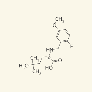 COc1ccc(F)c(CN[C@@H](CCC(C)(C)C)C(=O)O)c1